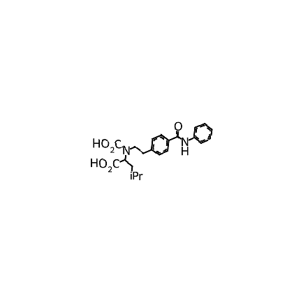 CC(C)CC(C(=O)O)N(CCc1ccc(C(=O)Nc2ccccc2)cc1)C(=O)O